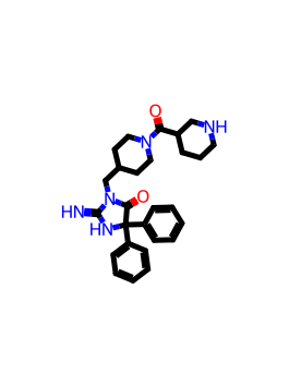 N=C1NC(c2ccccc2)(c2ccccc2)C(=O)N1CC1CCN(C(=O)C2CCCNC2)CC1